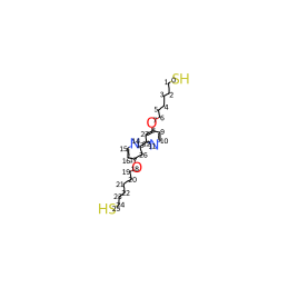 SCCCCCCOc1ccnc(C2=NC=CC(OCCCCCCS)C2)c1